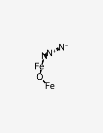 [N-]=[N+]=[N][Fe][O][Fe]